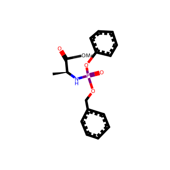 COC(=O)[C@H](C)NP(=O)(OCc1ccccc1)Oc1ccccc1